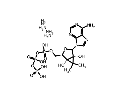 CC1(C)[C@]2(O)[C@H](n3cnc4c(N)ncnc43)O[C@H](COP(=O)(O)OP(=O)(O)OP(=O)(O)O)[C@]12O.N.N.N.N